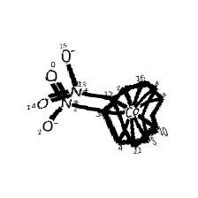 O=[N+]([O-])[C]12[CH]3[CH]4[CH]5[CH]1[Co]45321678[CH]2[CH]1[CH]6[C]7([N+](=O)[O-])[CH]28